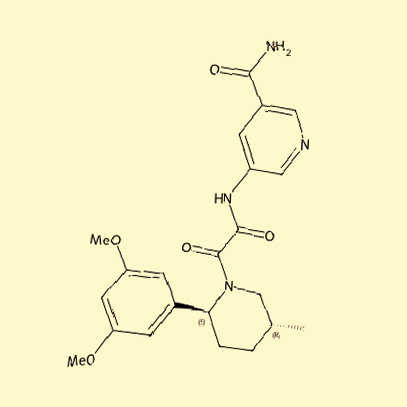 COc1cc(OC)cc([C@@H]2CC[C@@H](C)CN2C(=O)C(=O)Nc2cncc(C(N)=O)c2)c1